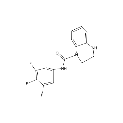 O=C(Nc1cc(F)c(F)c(F)c1)N1CCNc2ccccc21